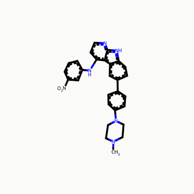 CN1CCN(c2ccc(-c3ccc4[nH]c5nccc(Nc6cccc([N+](=O)[O-])c6)c5c4c3)cc2)CC1